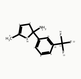 CC1=CCC(N)(c2cccc(C(F)(F)F)c2)S1